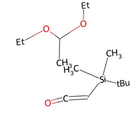 CC(C)(C)[Si](C)(C)C=C=O.CCOC(C)OCC